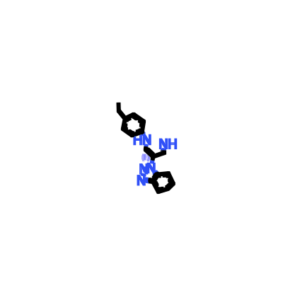 CCc1ccc(N/C=C(\C=N)n2nnc3ccccc32)cc1